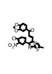 Cc1cn2c(C=CC(=O)c3ccc4c(c3)OCO4)c(-c3ccc(Cl)c([N+](=O)[O-])c3)nc2s1